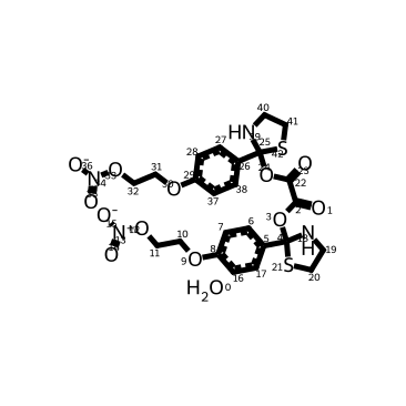 O.O=C(OC1(c2ccc(OCCO[N+](=O)[O-])cc2)NCCS1)C(=O)OC1(c2ccc(OCCO[N+](=O)[O-])cc2)NCCS1